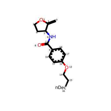 C=C1OCCC1NC(=O)c1ccc(OCCCCCCCCCCCC)cc1